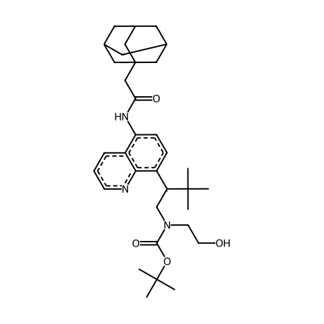 CC(C)(C)OC(=O)N(CCO)C[C](c1ccc(NC(=O)CC23CC4CC(CC(C4)C2)C3)c2cccnc12)C(C)(C)C